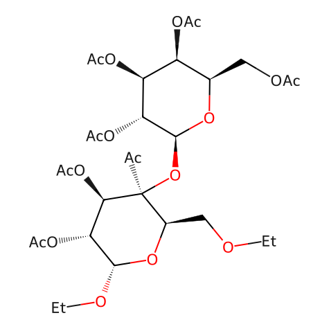 CCOC[C@H]1O[C@H](OCC)[C@H](OC(C)=O)[C@@H](OC(C)=O)[C@]1(O[C@@H]1O[C@H](COC(C)=O)[C@H](OC(C)=O)[C@H](OC(C)=O)[C@H]1OC(C)=O)C(C)=O